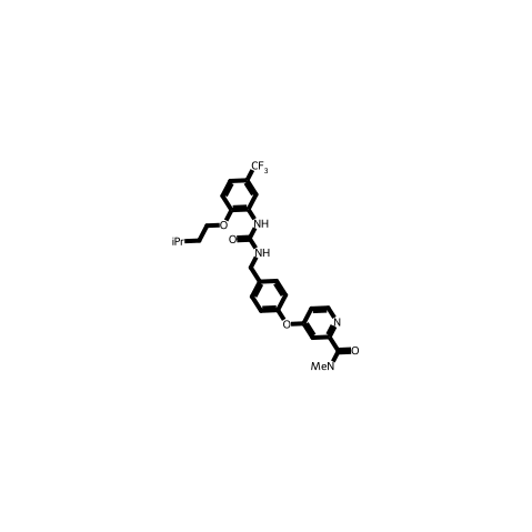 CNC(=O)c1cc(Oc2ccc(CNC(=O)Nc3cc(C(F)(F)F)ccc3OCCC(C)C)cc2)ccn1